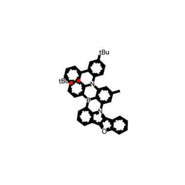 Cc1cc2c3c(c1)-n1c4c(cccc4c4oc5ccccc5c41)B3c1ccc(C(C)(C)C)cc1N2c1ccc(C(C)(C)C)cc1-c1ccccc1